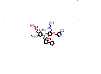 COc1cc(OCC2(COc3cc(OCc4cncc(C#N)c4)c(CNCCO)cc3C)C=CC=C(c3ccccc3)C2(C)C#N)cc(OC)c1CNCCO